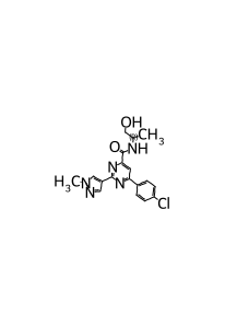 C[C@H](CO)NC(=O)c1cc(-c2ccc(Cl)cc2)nc(-c2cnn(C)c2)n1